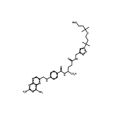 CSCCC(C)(C)OCCC(C)(C)n1cc(CNC(=O)CCC(NC(=O)c2ccc(NCc3cnc4nc(N)nc(N)c4n3)cc2)C(=O)O)nn1